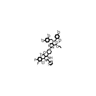 CCOC(=O)c1nc(N2CCC(C3=C(C(=O)OC)C(c4ccc(F)c(F)c4Cl)N=C(c4nccs4)N3)CC2)ncc1N(Cc1ccc(OC)cc1OC)Cc1ccc(OC)cc1OC